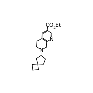 CCOC(=O)c1cnc2c(c1)CCN([C@@H]1CCC3(CCC3)C1)C2